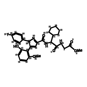 COC(=O)CNC(=O)C(NC(=O)c1cc(-c2c(O)cccc2OC)n(C2=C=C=C(F)C=C2)n1)C1CCCCC1